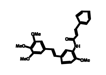 COc1ccc(C=Cc2cc(OC)c(OC)c(OC)c2)cc1NC(=O)C=Cc1ccccc1